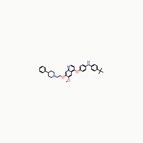 COc1cc2c(Oc3ccc(Nc4ccc(C(C)(C)C)cc4)cc3)ccnc2cc1OCCN1CCC(c2ccccc2)CC1